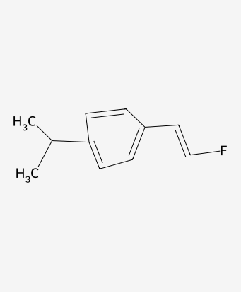 CC(C)c1ccc(C=CF)cc1